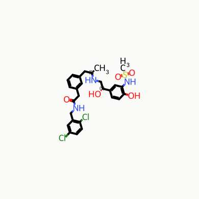 C[C@H](Cc1cccc(CC(=O)NCc2cc(Cl)ccc2Cl)c1)NC[C@@H](O)c1ccc(O)c(NS(C)(=O)=O)c1